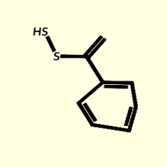 C=C(SS)c1ccccc1